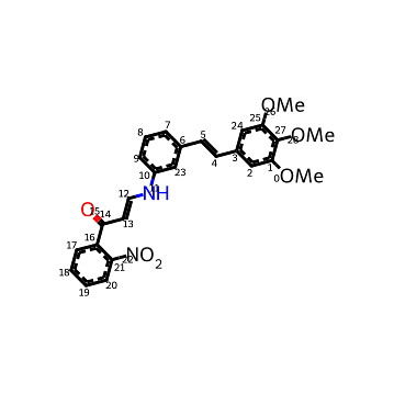 COc1cc(C=Cc2cccc(NC=CC(=O)c3ccccc3[N+](=O)[O-])c2)cc(OC)c1OC